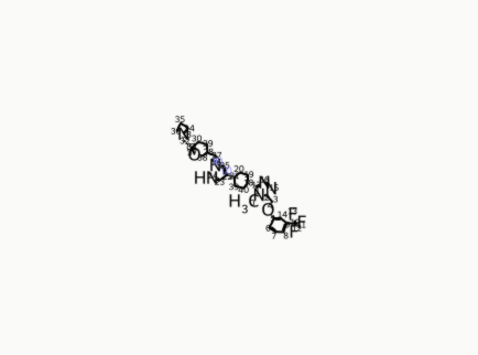 Cn1c(COc2cccc(C(F)(F)F)c2)nnc1[C@H]1CC[C@H](/C(C=N)=C/N=C/C2CC[C@@H](CN3CCC3)OC2)CC1